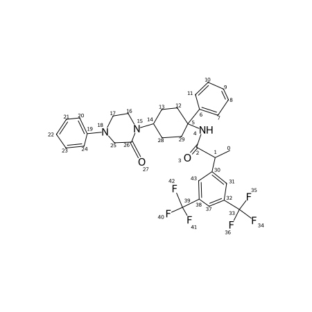 CC(C(=O)NC1(c2ccccc2)CCC(N2CCN(c3ccccc3)CC2=O)CC1)c1cc(C(F)(F)F)cc(C(F)(F)F)c1